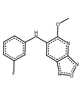 COc1nc2nonc2cc1Nc1cccc(F)c1